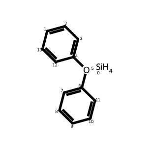 [SiH4].c1ccc(Oc2ccccc2)cc1